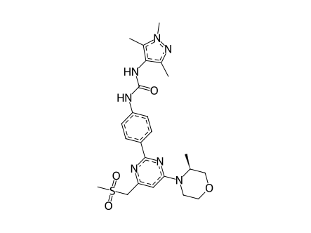 Cc1nn(C)c(C)c1NC(=O)Nc1ccc(-c2nc(CS(C)(=O)=O)cc(N3CCOC[C@@H]3C)n2)cc1